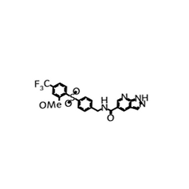 COc1cc(C(F)(F)F)ccc1S(=O)(=O)c1ccc(CNC(=O)c2cnc3[nH]ncc3c2)cc1